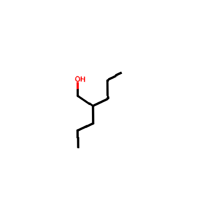 CCCC(CO)CCC